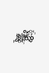 C#Cc1c(F)ccc2c1N([C@H]1COc3c(nc(OC[C@]4(C)C[C@@H](F)CN4c4ncccn4)nc3N(C)C[C@@H]3CCCN3C(=O)C=C)C1)CCC2